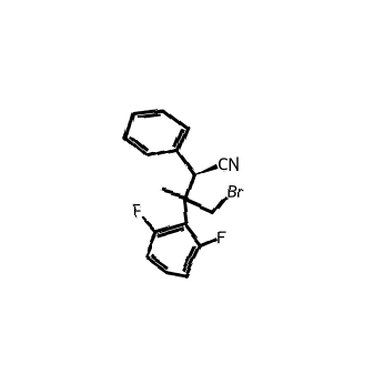 CC(CBr)(c1c(F)cccc1F)[C@H](C#N)c1ccccc1